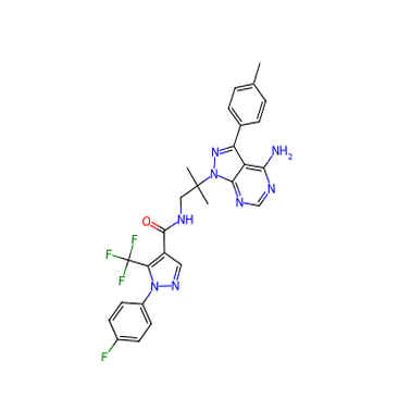 Cc1ccc(-c2nn(C(C)(C)CNC(=O)c3cnn(-c4ccc(F)cc4)c3C(F)(F)F)c3ncnc(N)c23)cc1